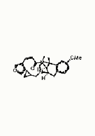 COc1ccc2c(c1)[C@@]1(C)CCN(CC3CC3)[C@H](C2)[C@H]1N(C)C(=O)/C=C\c1ccoc1